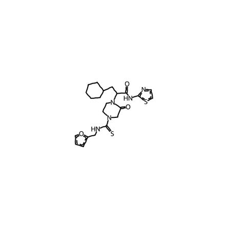 O=C(Nc1nccs1)C(CC1CCCCC1)N1CCN(C(=S)NCc2ccco2)CC1=O